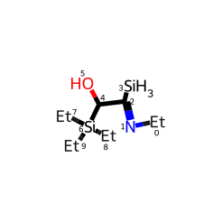 CCN=C([SiH3])C(O)[Si](CC)(CC)CC